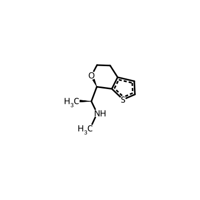 CN[C@@H](C)[C@H]1OCCc2ccsc21